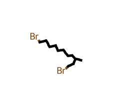 CC(CCBr)CCCCCCCCBr